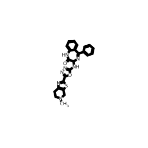 CN1CCc2nc(-c3nnc(NC4N=C(c5ccccc5)c5ccccc5NC4=O)o3)sc2C1